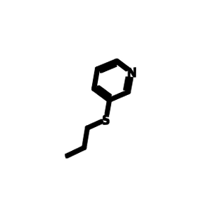 CCCSc1cccnc1